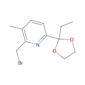 CCC1(c2ccc(C)c(CBr)n2)OCCO1